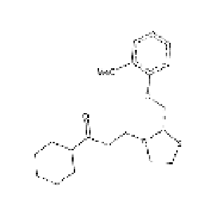 COc1ccccc1OC[C@@H]1SCCN1CCC(=O)C1CCCCC1